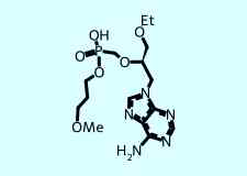 CCOC[C@@H](Cn1cnc2c(N)ncnc21)OCP(=O)(O)OCCCOC